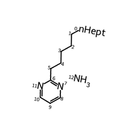 CCCCCCCCCCCCc1ncccn1.N